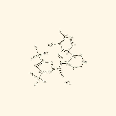 Cc1cc([C@@H]2CNCC[C@H]2N(C)C(=O)c2cc(C(F)(F)F)cc(C(F)(F)F)c2)ccc1F.Cl